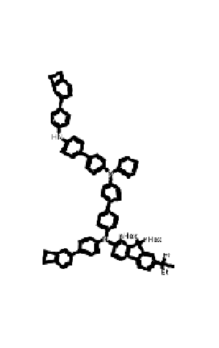 CCCCCCC1(CCCCCC)c2cc(N(c3ccc(-c4ccc(N(c5ccccc5)c5ccc(-c6ccc(Nc7ccc(-c8ccc9c(c8)CC9)cc7)cc6)cc5)cc4)cc3)c3ccc(-c4ccc5c(c4)CC5)cc3)ccc2-c2ccc(C(C)(CC)CC)cc21